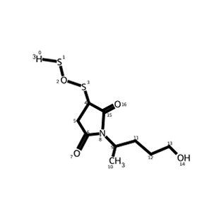 [3H]SOSC1CC(=O)N(C(C)CCCO)C1=O